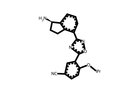 CC(C)Oc1ccc(C#N)cc1-c1nc(-c2cccc3c2CC[C@H]3N)no1